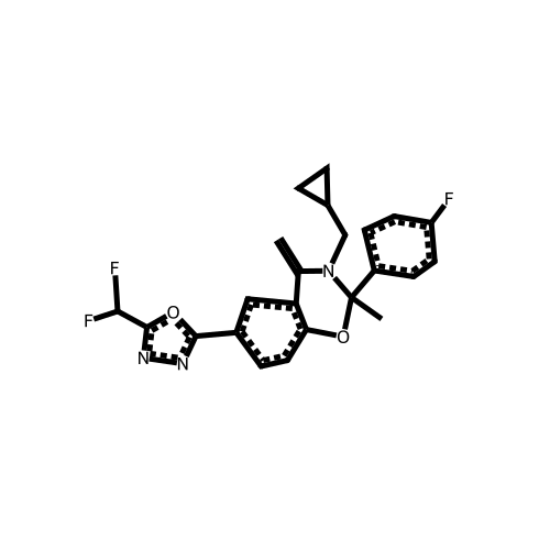 C=C1c2cc(-c3nnc(C(F)F)o3)ccc2OC(C)(c2ccc(F)cc2)N1CC1CC1